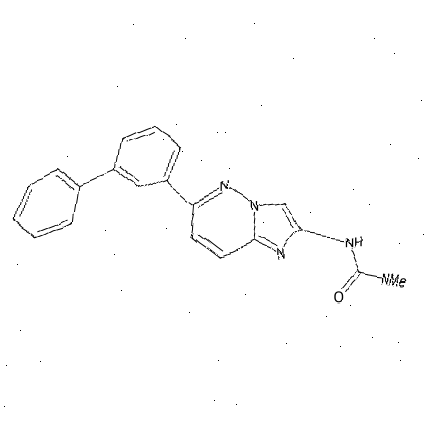 CNC(=O)Nc1cn2nc(-c3cccc(-c4ccccc4)c3)ccc2n1